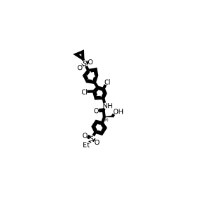 CCS(=O)(=O)c1ccc([C@H](CO)C(=O)Nc2cc(Cl)c(-c3ccc(S(=O)(=O)C4CC4)cc3)c(Cl)c2)cc1